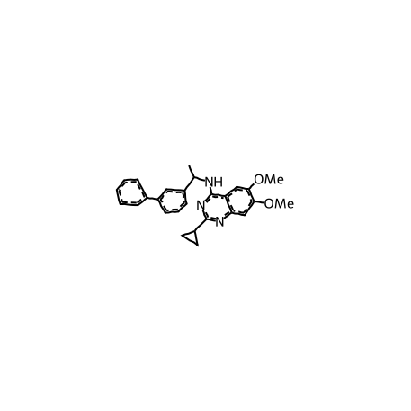 COc1cc2nc(C3CC3)nc(NC(C)c3cccc(-c4ccccc4)c3)c2cc1OC